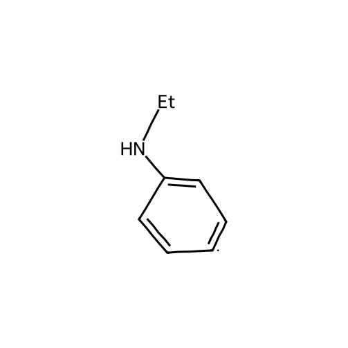 CCNc1cc[c]cc1